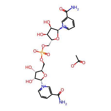 CC(=O)[O-].NC(=O)c1ccc[n+]([C@H]2O[C@H](COP(=O)([O-])OC[C@H]3O[C@H]([n+]4cccc(C(N)=O)c4)[C@H](O)[C@@H]3O)[C@@H](O)[C@H]2O)c1